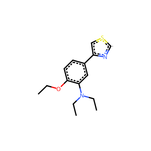 CCOc1ccc(-c2cs[c]n2)cc1N(CC)CC